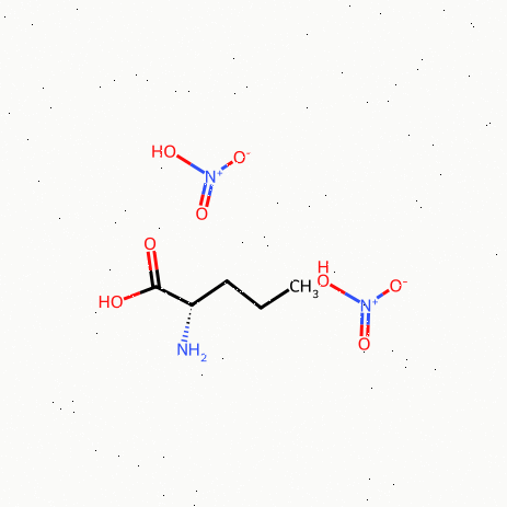 CCC[C@H](N)C(=O)O.O=[N+]([O-])O.O=[N+]([O-])O